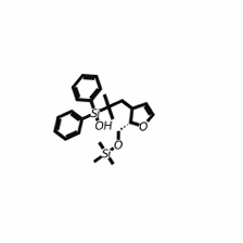 CC(C)(CC1C=CO[C@@H]1CO[Si](C)(C)C)[Si](O)(c1ccccc1)c1ccccc1